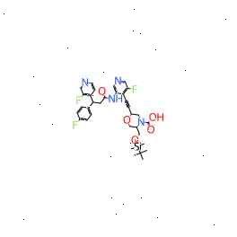 CC(C)(C)[Si](C)(C)OCC1COC(C#Cc2c(F)cncc2NC(=O)CC(c2ccc(F)cc2)c2ccncc2F)CN1C(=O)O